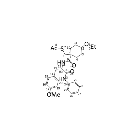 CCOC1CCC(CSC(C)=O)(C(=O)N[C@@H](Cc2ccc(OC)cc2)C(=O)Nc2ccccc2)CC1